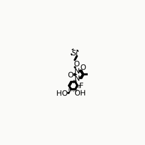 Cc1cn([C@@H]2C=C[C@H](CO)[C@@H](O)[C@H]2F)c(=O)n(COCC[Si](C)(C)C)c1=O